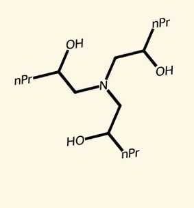 CCCC(O)CN(CC(O)CCC)CC(O)CCC